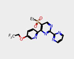 CCS(=O)(=O)c1cnc(-c2ncccn2)nc1-c1ccc(OCC(F)(F)F)cn1